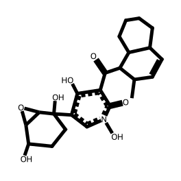 CC1C=CC2CCCCC2C1C(=O)c1c(O)c(C2(O)CCC(O)C3OC32)cn(O)c1=O